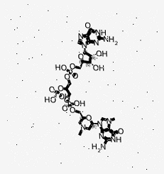 CN1C[C@@H](COP(=O)(O)OCC(COP(=O)(O)OC[C@H]2O[C@@H](n3cnc4c(=O)[nH]c(N)nc43)[C@H](O)[C@@H]2O)OP(=O)(O)O)O[C@@H](N2CN(C)c3c2nc(N)[nH]c3=O)C1